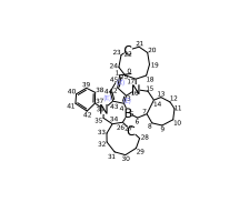 C\C=C/C1=C2/B(CC3CCCCCCC3CN1C1CCCCCCCC1)C1CCCCCCCC1CN(c1ccccc1)/C2=C/C